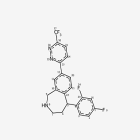 Fc1ccc(C2CCNCc3cc(-c4ccc(C(F)(F)F)nn4)ccc32)c(F)c1